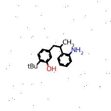 CC(Cc1ccc(C(C)(C)C)c(O)c1)c1ccccc1N